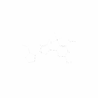 CNc1nc(N)nc(-c2cn(C3CCCC3OC)nc2C)c1C(F)(F)F